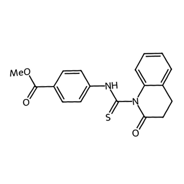 COC(=O)c1ccc(NC(=S)N2C(=O)CCc3ccccc32)cc1